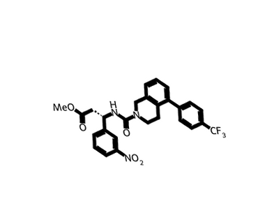 COC(=O)C[C@H](NC(=O)N1CCc2c(cccc2-c2ccc(C(F)(F)F)cc2)C1)c1cccc([N+](=O)[O-])c1